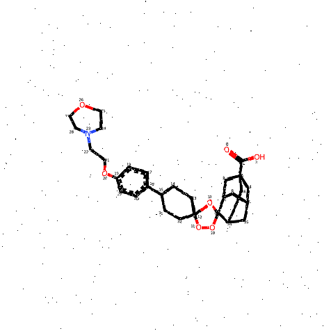 O=C(O)C12CC3CC(C1)C1(OOC4(CCC(c5ccc(OCCN6CCOCC6)cc5)CC4)O1)C(C3)C2